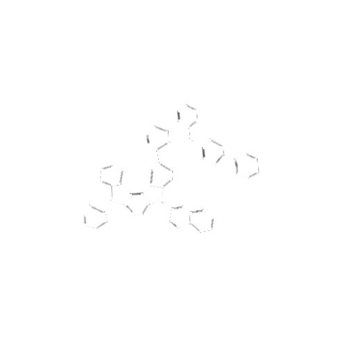 c1ccc(-c2ccc(Nc3ccccc3-c3cccc(-c4ccc5c(c4)c4c6c7ccccc7n(-c7ccccc7)c6ccc4n5-c4ccc5ccccc5c4)c3)cc2)cc1